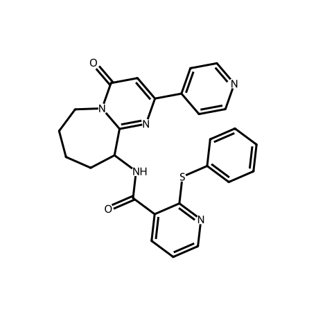 O=C(NC1CCCCn2c1nc(-c1ccncc1)cc2=O)c1cccnc1Sc1ccccc1